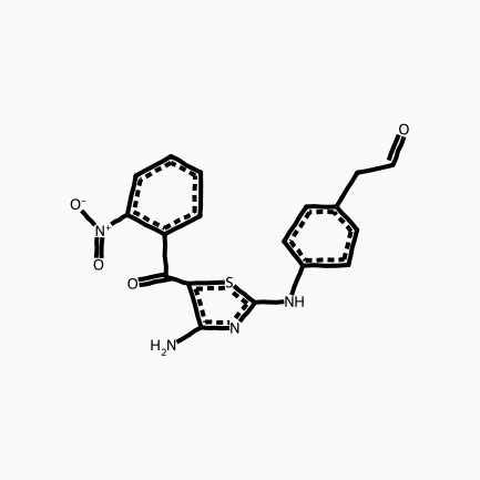 Nc1nc(Nc2ccc(CC=O)cc2)sc1C(=O)c1ccccc1[N+](=O)[O-]